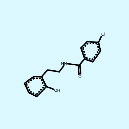 O=C(NCCc1ccccc1O)c1ccc(Cl)cc1